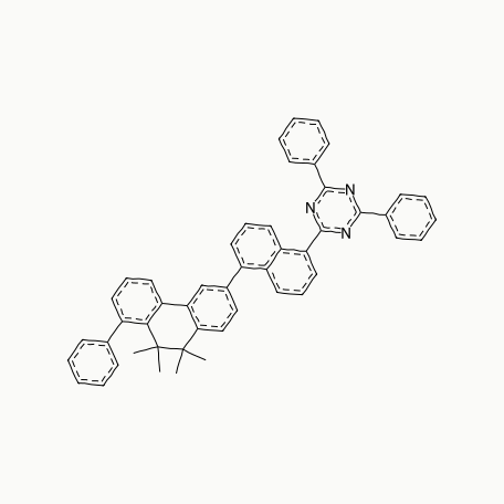 CC1(C)c2ccc(-c3cccc4c(-c5nc(-c6ccccc6)nc(-c6ccccc6)n5)cccc34)cc2-c2cccc(-c3ccccc3)c2C1(C)C